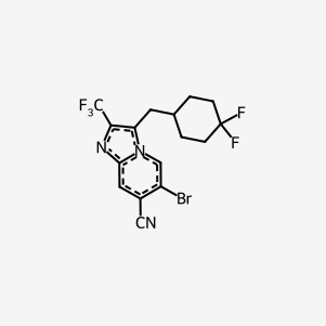 N#Cc1cc2nc(C(F)(F)F)c(CC3CCC(F)(F)CC3)n2cc1Br